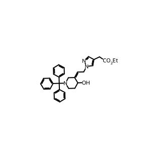 CCOC(=O)Cc1cnn(CC=C2CN(C(c3ccccc3)(c3ccccc3)c3ccccc3)CCC2O)c1